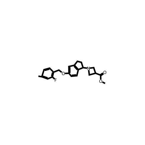 COC(=O)C1CN(C2CCc3cc(OCc4ccc(C)cc4F)ccc32)C1